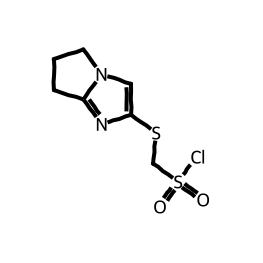 O=S(=O)(Cl)CSc1cn2c(n1)CCC2